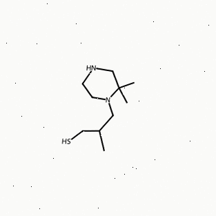 CC(CS)CN1CCNCC1(C)C